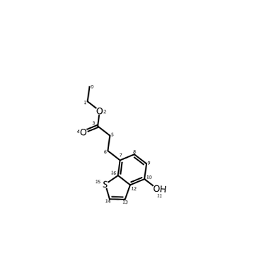 CCOC(=O)CCc1ccc(O)c2ccsc12